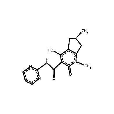 C[C@@H]1Cc2c(O)c(C(=O)Nc3ncccn3)c(=O)n(C)c2C1